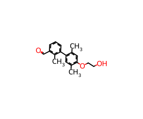 Cc1cc(-c2cccc(C=O)c2C)c(C)cc1OCCO